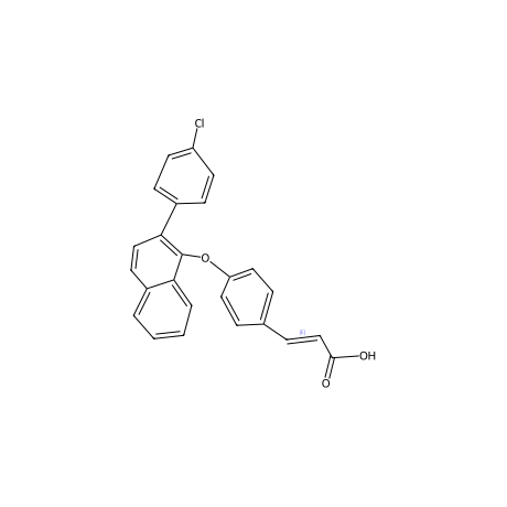 O=C(O)/C=C/c1ccc(Oc2c(-c3ccc(Cl)cc3)ccc3ccccc23)cc1